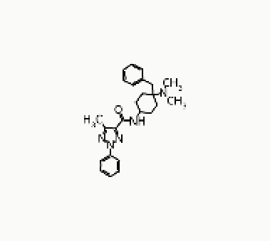 Cc1nn(-c2ccccc2)nc1C(=O)NC1CCC(Cc2ccccc2)(N(C)C)CC1